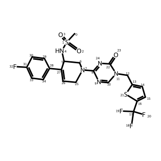 CS(=O)(=O)NC1CN(c2ncn(Cc3ccc(C(F)(F)F)s3)c(=O)n2)CC=C1c1ccc(F)cc1